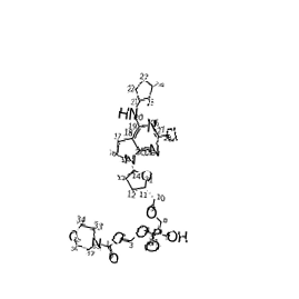 O=C(OCOP(=O)(O)COC[C@@H]1CC[C@H](n2ccc3c(NC4CCCC4)nc(Cl)nc32)O1)N1CCOCC1